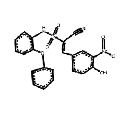 N#C/C(=C\c1ccc(O)c([N+](=O)[O-])c1)S(=O)(=O)Nc1ccccc1Oc1ccccc1